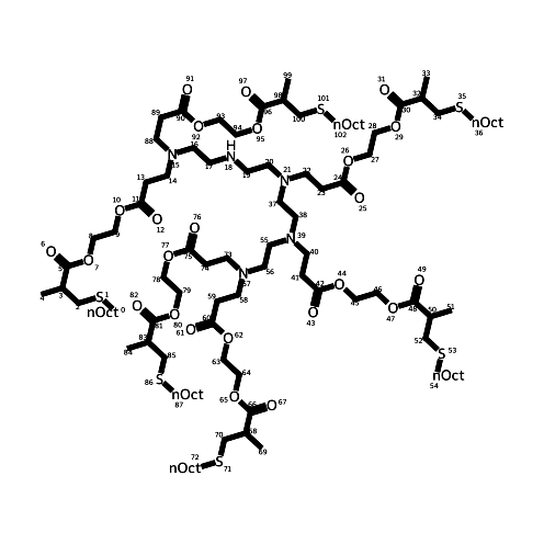 CCCCCCCCSCC(C)C(=O)OCCOC(=O)CCN(CCNCCN(CCC(=O)OCCOC(=O)C(C)CSCCCCCCCC)CCN(CCC(=O)OCCOC(=O)C(C)CSCCCCCCCC)CCN(CCC(=O)OCCOC(=O)C(C)CSCCCCCCCC)CCC(=O)OCCOC(=O)C(C)CSCCCCCCCC)CCC(=O)OCCOC(=O)C(C)CSCCCCCCCC